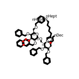 CCCCCCCCCCCCCC[C@@H](OCc1ccccc1)[C@@H](OCc1ccccc1)[C@H](CO[C@H]1O[C@H](COCc2ccccc2)[C@H](OCc2ccccc2)[C@H](OCc2ccccc2)[C@H]1OCc1ccccc1)n1cc(CCCCCN(CCCCCCC)CCCCCCC)nn1